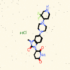 Cl.Cn1c(=O)n(C2CCC(=O)NC2=O)c2ccc(N3CCN([C@@H]4CCNCC4(F)F)CC3)cc21